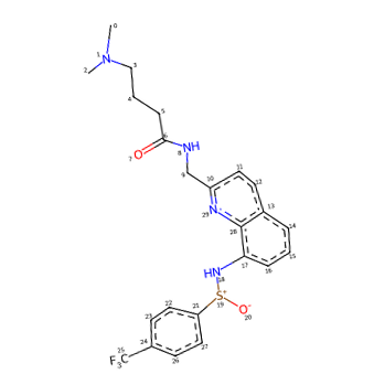 CN(C)CCCC(=O)NCc1ccc2cccc(N[S+]([O-])c3ccc(C(F)(F)F)cc3)c2n1